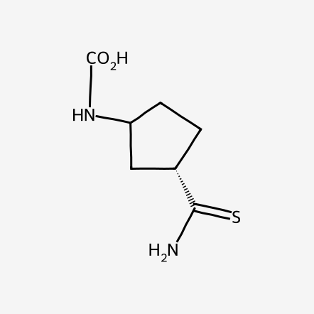 NC(=S)[C@H]1CCC(NC(=O)O)C1